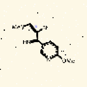 CN/C=C(/Br)C(=N)c1ccc(OC)nc1